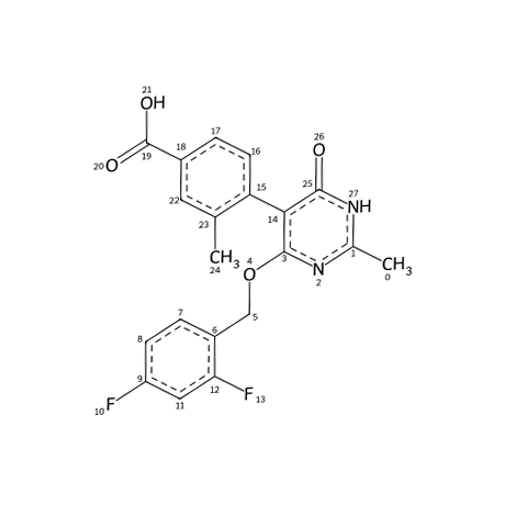 Cc1nc(OCc2ccc(F)cc2F)c(-c2ccc(C(=O)O)cc2C)c(=O)[nH]1